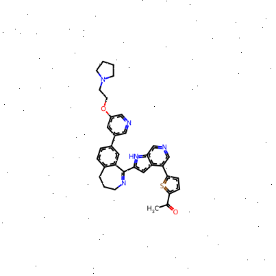 CC(=O)c1ccc(-c2cncc3[nH]c(C4=NCCCc5ccc(-c6cncc(OCCN7CCCC7)c6)cc54)cc23)s1